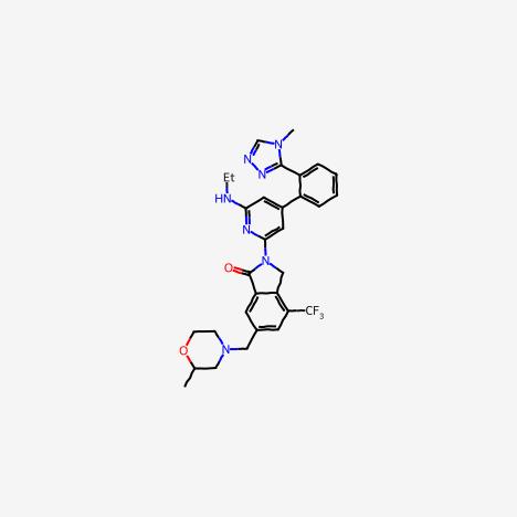 CCNc1cc(-c2ccccc2-c2nncn2C)cc(N2Cc3c(cc(CN4CCOC(C)C4)cc3C(F)(F)F)C2=O)n1